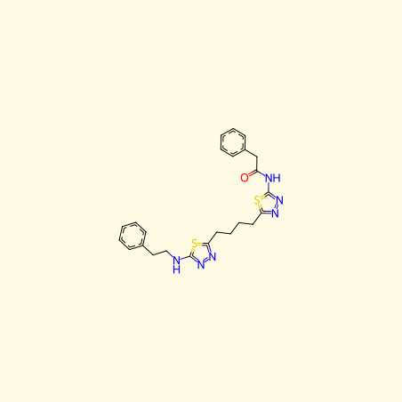 O=C(Cc1ccccc1)Nc1nnc(CCCCc2nnc(NCCc3ccccc3)s2)s1